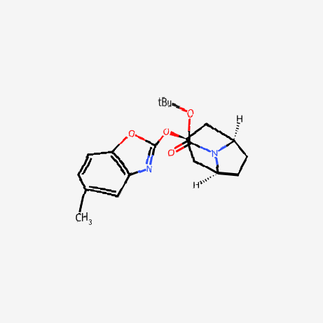 Cc1ccc2oc(O[C@H]3C[C@H]4CC[C@@H](C3)N4C(=O)OC(C)(C)C)nc2c1